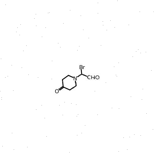 O=CC(Br)N1CCC(=O)CC1